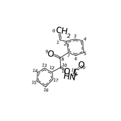 C=Cc1ccccc1C(=O)C(=O)c1ccccc1.N=C=O